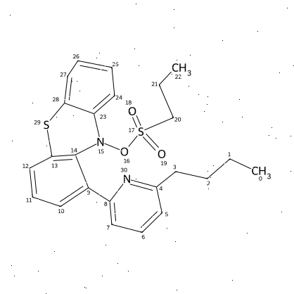 CCCCc1cccc(-c2cccc3c2N(OS(=O)(=O)CCC)c2ccccc2S3)n1